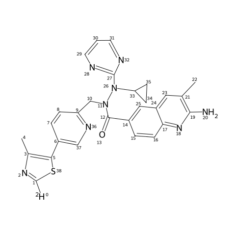 [2H]c1nc(C)c(-c2ccc(CN(C(=O)c3ccc4nc(N)c(C)cc4c3)N(c3ncccn3)C3CC3)nc2)s1